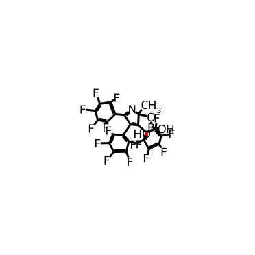 CC1(OB(O)O)N=C(c2c(F)c(F)c(F)c(F)c2F)C(c2c(F)c(F)c(F)c(F)c2F)=C1c1c(F)c(F)c(F)c(F)c1F